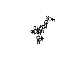 CCC1CCCN1Cc1sc(NC(=O)c2cnc(N3CCC(C(=O)O)CC3)cn2)nc1-c1ccc(N2CCCC2)c(C(F)(F)F)c1